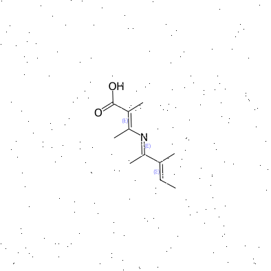 C/C=C(C)/C(C)=N/C(C)=C(\C)C(=O)O